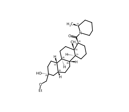 CCOC[C@@]1(O)CC[C@H]2[C@H](CC[C@@H]3[C@@H]2CC[C@]2(C)[C@@H](C(=O)N4CCCC[C@@H]4C)CCC[C@@H]32)C1